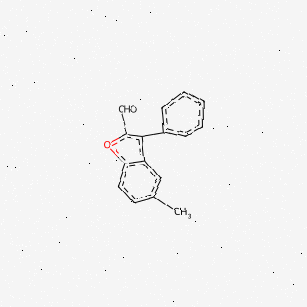 Cc1ccc2oc(C=O)c(-c3ccccc3)c2c1